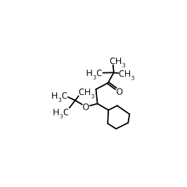 CC(C)(C)OC(CC(=O)C(C)(C)C)C1CCCCC1